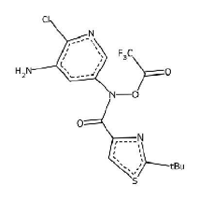 CC(C)(C)c1nc(C(=O)N(OC(=O)C(F)(F)F)c2cnc(Cl)c(N)c2)cs1